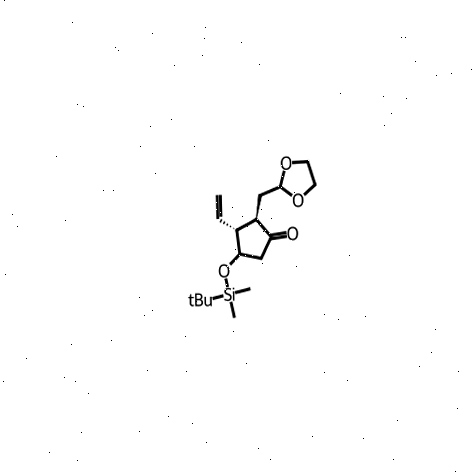 C=C[C@H]1C(O[Si](C)(C)C(C)(C)C)CC(=O)[C@@H]1CC1OCCO1